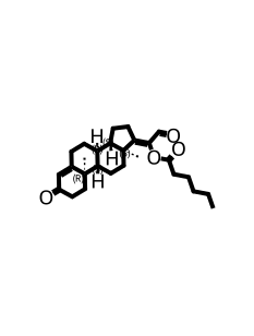 CCCCCC(=O)OC(C=O)=C1CC[C@H]2[C@@H]3CCC4=CC(=O)CC[C@]4(C)[C@H]3CC[C@]12C